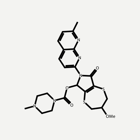 COC1CSC2=C(SC1)C(OC(=O)N1CCN(C)CC1)N(c1ccc3ccc(C)nc3n1)C2=O